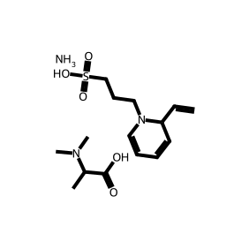 C=CC1C=CC=CN1CCCS(=O)(=O)O.CC(C(=O)O)N(C)C.N